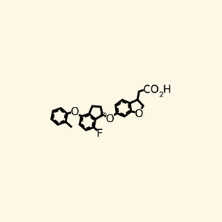 Cc1ccccc1Oc1ccc(F)c2c1CC[C@H]2Oc1ccc2c(c1)OCC2CC(=O)O